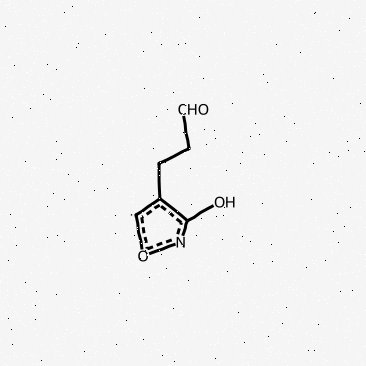 O=CCCc1[c]onc1O